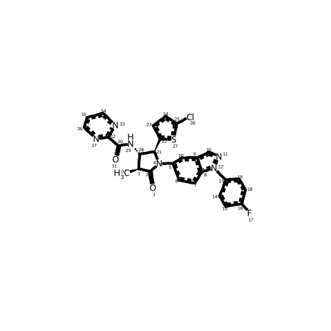 C[C@@H]1C(=O)N(c2ccc3c(cnn3-c3ccc(F)cc3)c2)[C@H](c2ccc(Cl)s2)[C@H]1NC(=O)c1ncccn1